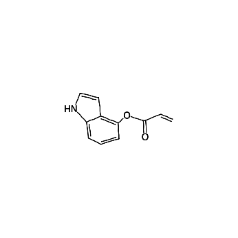 C=CC(=O)Oc1cccc2[nH]ccc12